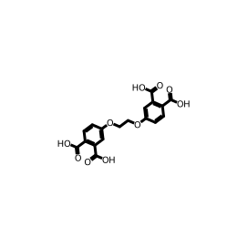 O=C(O)c1ccc(OCCOc2ccc(C(=O)O)c(C(=O)O)c2)cc1C(=O)O